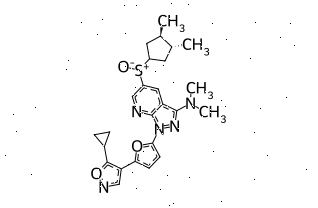 C[C@@H]1CC([S+]([O-])c2cnc3c(c2)c(N(C)C)nn3-c2ccc(-c3cnoc3C3CC3)o2)C[C@H]1C